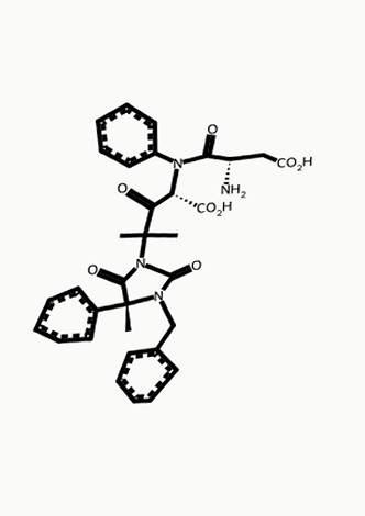 CC(C)(C(=O)[C@@H](C(=O)O)N(C(=O)[C@@H](N)CC(=O)O)c1ccccc1)N1C(=O)N(Cc2ccccc2)[C@](C)(c2ccccc2)C1=O